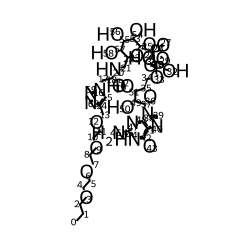 CCCOCCOCCOCCOCc1cn(CC(=O)NCC2O[C@H](OP(=O)(O)OP(=O)(O)OC[C@H]3O[C@@H](n4cnc5c(=O)[nH]c(N)nc54)C(O)C3O)C(O)C(O)[C@@H]2O)nn1